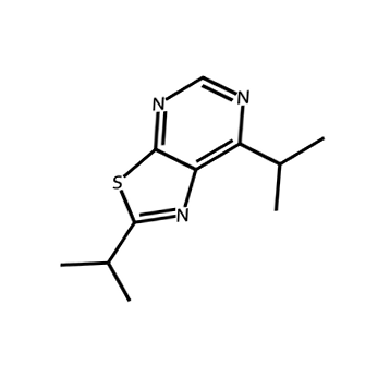 CC(C)c1nc2c(C(C)C)ncnc2s1